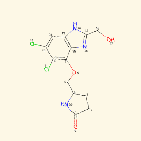 O=C1CCC(COc2c(Cl)c(Cl)cc3[nH]c(CO)nc23)N1